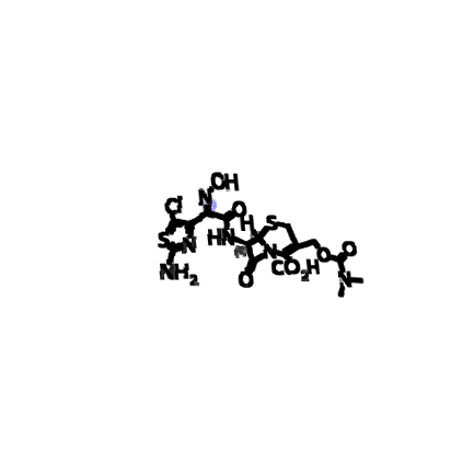 CN(C)C(=O)OCC1=C(C(=O)O)N2C(=O)[C@@H](NC(=O)/C(=N\O)c3nc(N)sc3Cl)[C@@H]2SC1